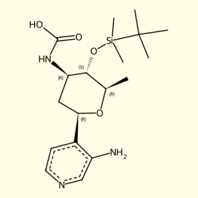 C[C@H]1O[C@@H](c2ccncc2N)C[C@@H](NC(=O)O)[C@@H]1O[Si](C)(C)C(C)(C)C